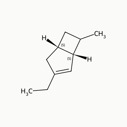 CCC1=C[C@H]2C(C)C[C@H]2C1